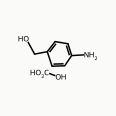 Nc1ccc(CO)cc1.O=C(O)O